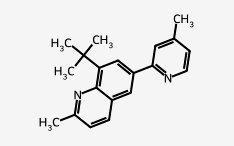 Cc1ccnc(-c2cc(C(C)(C)C)c3nc(C)ccc3c2)c1